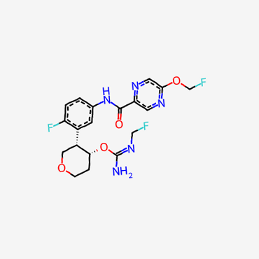 N/C(=N/CF)O[C@@H]1CCOC[C@@H]1c1cc(NC(=O)c2cnc(OCF)cn2)ccc1F